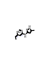 C=N/C(=C\C(=C/C)C(C)(C)C)Nc1cc(C)[nH]n1